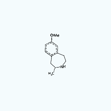 COc1ccc2c(c1)CCNC(C)C2